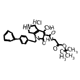 CC(C)(C)OC(=O)CNC(=O)c1c(O)c2c(n(Cc3ccc(-c4ccccc4)cc3)c1=O)CNC2.Cl